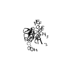 CCN(C[C@H]1CC[C@H](CC(=O)O)CC1)c1ncc(-c2cc(C)nn2C)nc1CN1C(=O)OC(c2cc(C(F)(F)F)cc(C(F)(F)F)c2)[C@@H]1C